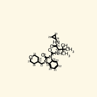 CC(C)(C)[C@H](NC(=O)n1c(=O)n(CC2CCOCC2)c2ccccc21)C(=O)NC1CC1